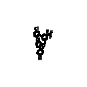 FC(F)(F)c1cc(COCC2(c3ccccc3)CCNCC2)cc(-c2cc(Cl)ccc2Cl)c1